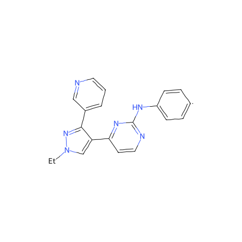 CCn1cc(-c2ccnc(Nc3cc[c]cc3)n2)c(-c2cccnc2)n1